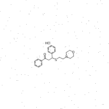 Cl.O=C(CC(SCCN1CCOCC1)c1ccccc1)c1ccccc1